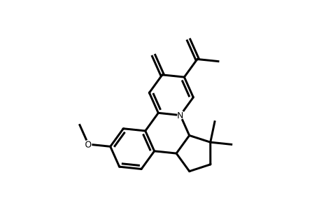 C=C(C)C1=CN2C(=CC1=C)c1cc(OC)ccc1C1CCC(C)(C)C12